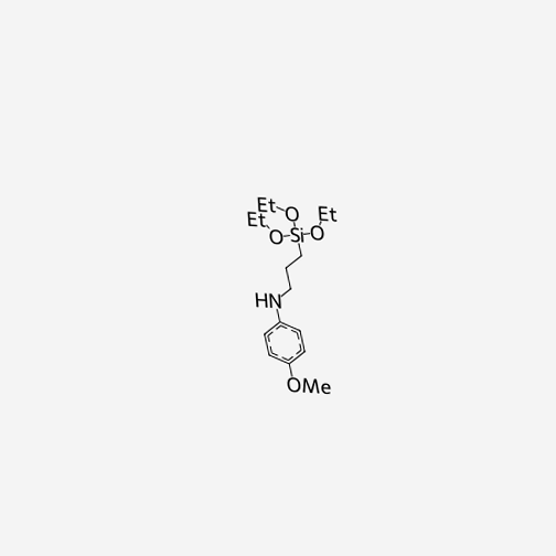 CCO[Si](CCCNc1ccc(OC)cc1)(OCC)OCC